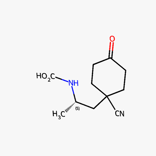 C[C@@H](CC1(C#N)CCC(=O)CC1)NC(=O)O